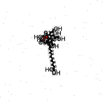 O=C(OCC(O)CO)C(CC(O)CO)C(CC(O)CO)C(CC(O)CO)C(CCCC=CCCCCCCCCCC(O)CO)CC(O)CO